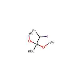 CCCC[Si](OCCC)(OCCC)C(I)CC